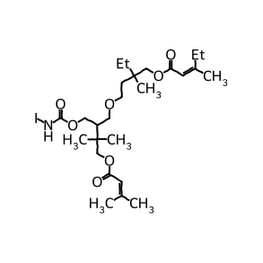 CC/C(C)=C\C(=O)OCC(C)(CC)CCOCC(COC(=O)NI)C(C)(C)COC(=O)C=C(C)C